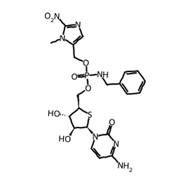 Cn1c(COP(=O)(NCc2ccccc2)OC[C@H]2S[C@@H](n3ccc(N)nc3=O)[C@@H](O)[C@@H]2O)cnc1[N+](=O)[O-]